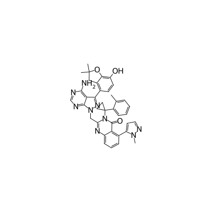 Cc1ccccc1C1(n2c(Cn3nc(-c4ccc(O)c5c4CC(C)(C)O5)c4c(N)ncnc43)nc3cccc(-c4ccnn4C)c3c2=O)CC1